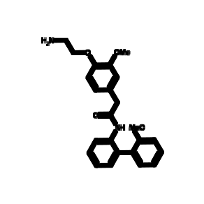 COc1cc(CC(=O)Nc2ccccc2-c2ccccc2OC)ccc1OCCN